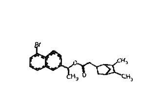 CC(OC(=O)CC1CC2CC1C(C)C2C)c1ccc2c(Br)cccc2c1